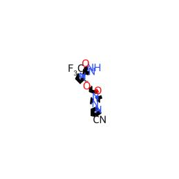 CC1CN(c2ccc(C#N)cn2)CCN1C(=O)CCOC[C@@H]1CCCN1c1cn[nH]c(=O)c1C(F)(F)F